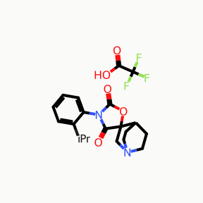 CC(C)c1ccccc1N1C(=O)OC2(CN3CCC2CC3)C1=O.O=C(O)C(F)(F)F